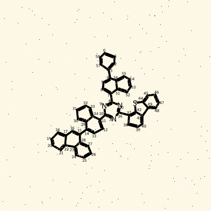 c1ccc(-c2ccc(-c3nc(-c4ccc(-c5cc6ccccc6c6ccccc56)c5ccccc45)nc(-c4cccc5c4sc4ccccc45)n3)c3ccccc23)cc1